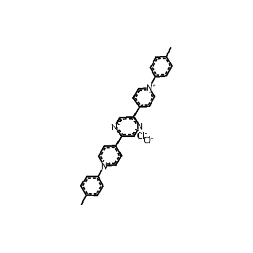 Cc1ccc(-[n+]2ccc(-c3cnc(-c4cc[n+](-c5ccc(C)cc5)cc4)cn3)cc2)cc1.[Cl-].[Cl-]